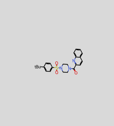 CC(C)(C)c1ccc(S(=O)(=O)N2CCN(C(=O)c3ccc4ccccc4n3)CC2)cc1